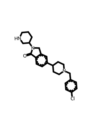 O=C1c2ccc(C3CCN(Cc4ccc(Cl)cc4)CC3)cc2CN1C1CCCNC1